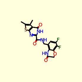 Cc1sc2nc(C(=O)NCc3cc(F)c(F)c4c3NC(=O)CO4)[nH]c(=O)c2c1C